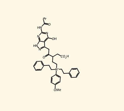 COc1ccc([N+](CCc2ccccc2)(CCc2ccccc2)CCC(CC(=O)O)C(=O)Cc2n[nH]c3nc(NC(=O)C(C)C)nc(O)c23)cc1